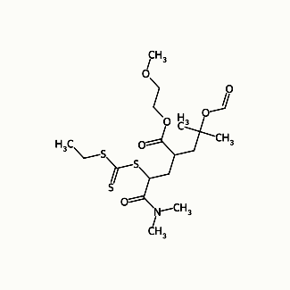 CCSC(=S)SC(CC(CC(C)(C)OC=O)C(=O)OCCOC)C(=O)N(C)C